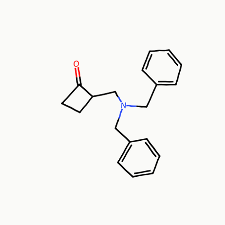 O=C1CCC1CN(Cc1ccccc1)Cc1ccccc1